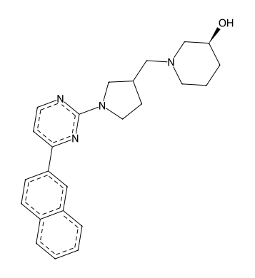 O[C@H]1CCCN(CC2CCN(c3nccc(-c4ccc5ccccc5c4)n3)C2)C1